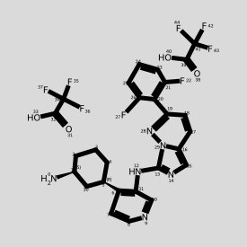 N[C@H]1CCC[C@@H](c2ccncc2Nc2ncc3ccc(-c4c(F)cccc4F)nn23)C1.O=C(O)C(F)(F)F.O=C(O)C(F)(F)F